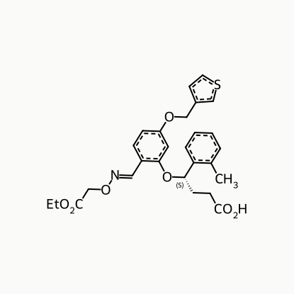 CCOC(=O)CON=Cc1ccc(OCc2ccsc2)cc1O[C@@H](CCC(=O)O)c1ccccc1C